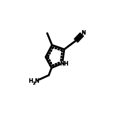 Cc1cc(CN)[nH]c1C#N